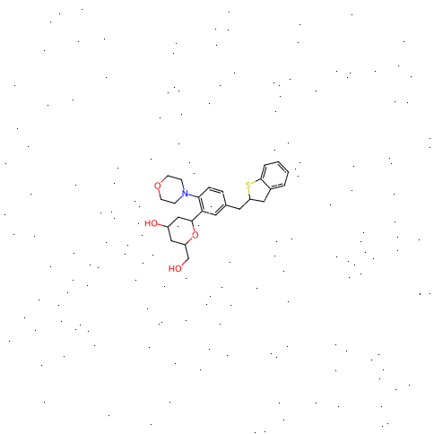 OCC1CC(O)CC(c2cc(CC3Cc4ccccc4S3)ccc2N2CCOCC2)O1